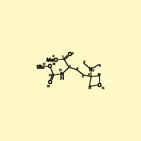 COC(=O)C(CCC1(N(C)C)COC1)NC(=O)OC(C)(C)C